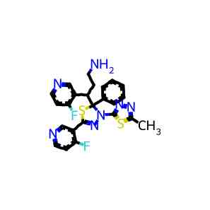 Cc1nnc(N2N=C(c3cnccc3F)SC2(c2ccccc2)C(CCN)c2cnccc2F)s1